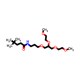 COCCOCC(COCCCNC(=O)CCC(C)(C)C)OCCOC